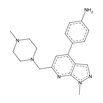 CN1CCN(Cc2cc(-c3ccc(N)cc3)c3cnn(C)c3n2)CC1